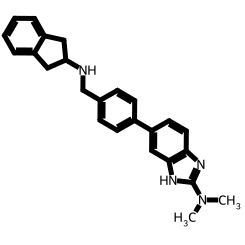 CN(C)c1nc2ccc(-c3ccc(CNC4Cc5ccccc5C4)cc3)cc2[nH]1